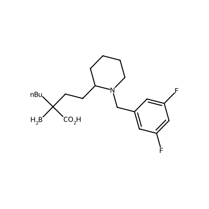 BC(CCCC)(CCC1CCCCN1Cc1cc(F)cc(F)c1)C(=O)O